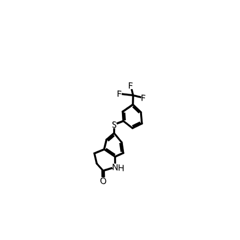 O=C1CCc2cc(Sc3cccc(C(F)(F)F)c3)ccc2N1